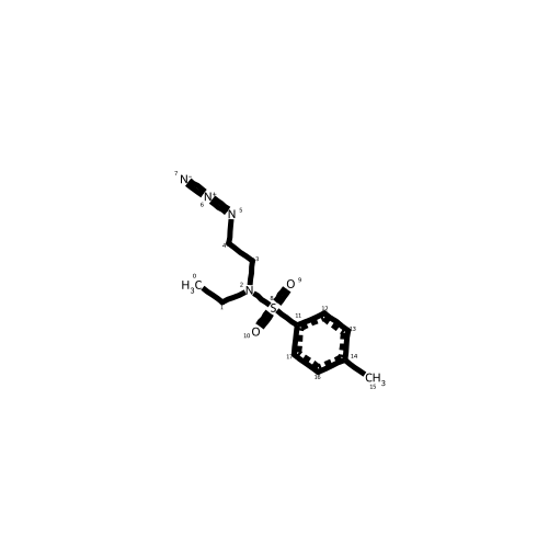 CCN(CCN=[N+]=[N-])S(=O)(=O)c1ccc(C)cc1